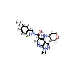 CCn1ncc2c(NC3CCOCC3)c(C(=O)NCc3cc(C(F)(F)F)ccc3F)cnc21